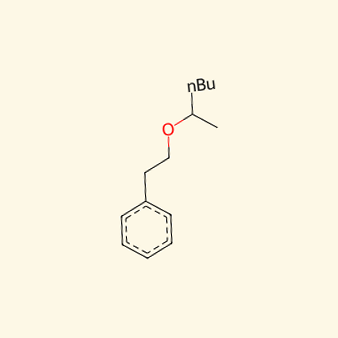 CCCCC(C)OCCc1ccccc1